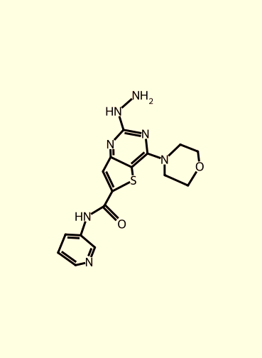 NNc1nc(N2CCOCC2)c2sc(C(=O)Nc3cccnc3)cc2n1